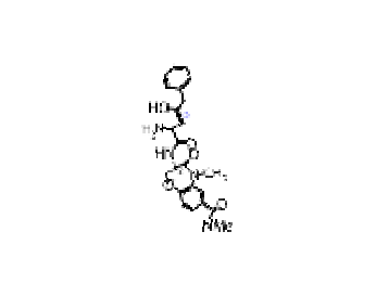 CNC(=O)c1ccc2c(c1)N(C)C(=O)[C@@H](NC(=O)C(N)/C=C(\O)Cc1ccccc1)CO2